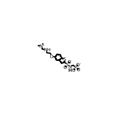 C[N+](C)=CNCCOc1ccc2sc(S(=O)(=O)NCP(=O)([O-])O)cc2c1